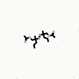 CCCC(C)(COC(C)=O)N=NC(C)(CCC)COC(C)=O